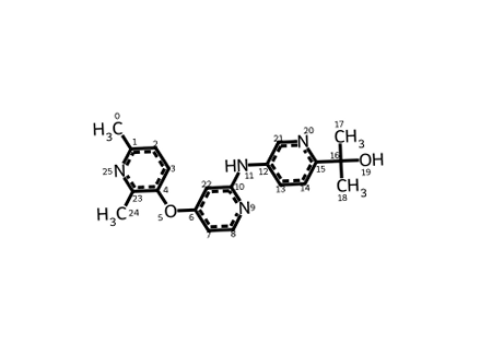 Cc1ccc(Oc2ccnc(Nc3ccc(C(C)(C)O)nc3)c2)c(C)n1